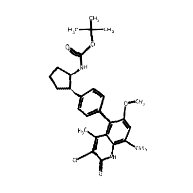 COc1cc(C)c2[nH]c(=O)c(Cl)c(C)c2c1-c1ccc([C@H]2CCC[C@H]2NC(=O)OC(C)(C)C)cc1